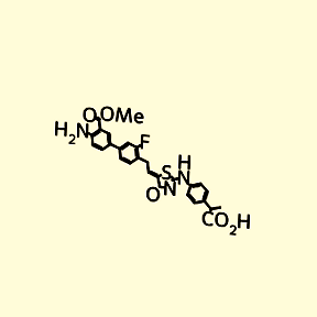 COC(=O)c1cc(-c2ccc(CC=C3SC(Nc4ccc(C(C)C(=O)O)cc4)=NC3=O)c(F)c2)ccc1N